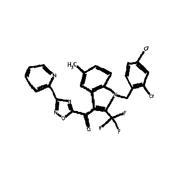 Cc1ccc2c(c1)c(C(=O)c1nc(-c3ccccn3)no1)c(C(F)(F)F)n2Cc1ccc(Cl)cc1Cl